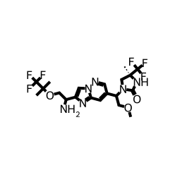 COCC(c1cnn2cc(C(N)COC(C)(C)C(F)(F)F)nc2c1)N1C[C@@](C)(C(F)(F)F)NC1=O